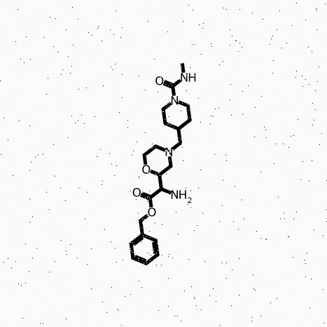 CNC(=O)N1CCC(CN2CCOC(C(N)C(=O)OCc3ccccc3)C2)CC1